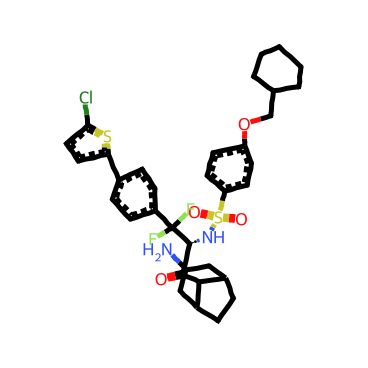 NC1CC2CCC(C1)C2C(=O)[C@@H](NS(=O)(=O)c1ccc(OCC2CCCCC2)cc1)C(F)(F)c1ccc(-c2ccc(Cl)s2)cc1